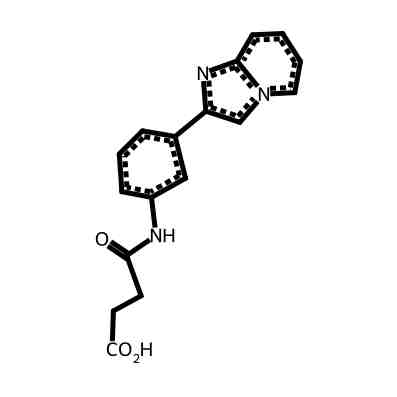 O=C(O)CCC(=O)Nc1cccc(-c2cn3ccccc3n2)c1